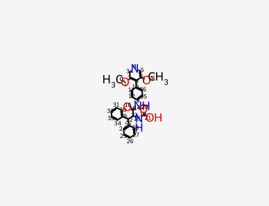 COc1cncc(OC)c1-c1ccc(NC(=O)[C@@H](NC(=O)O)C(c2ccccc2)c2ccccc2)cc1